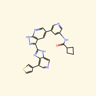 O=C(Nc1cncc(-c2cnc3[nH]nc(-c4nc5c(-c6ccsc6)cncc5[nH]4)c3c2)c1)C1CCC1